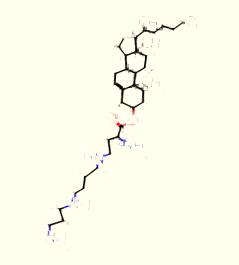 CC(C)CCC[C@@H](C)[C@H]1CCC2C3CC=C4CC(OC(=O)C(N)CCNCCCCNCCCN)CC[C@]4(C)C3CC[C@@]21C